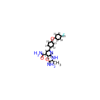 CC(Nc1cc(C(N)=O)cc(-c2ccc(Oc3ccc(F)cc3)cc2)n1)C(N)=O